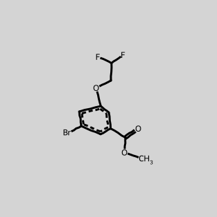 COC(=O)c1cc(Br)cc(OCC(F)F)c1